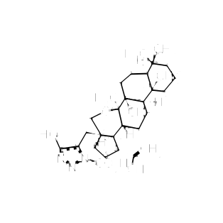 C=C(C)[C@@H]1CC[C@]2(Cc3c(O)nnn3C(=O)O)CC[C@]3(C)[C@H](CC[C@@H]4[C@@]5(C)CCCC(C)(C)[C@@H]5CC[C@]43C)[C@@H]12